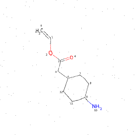 C=COC(=O)CC1CCC(N)CC1